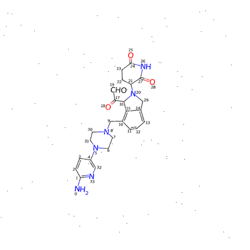 Nc1ccc(N2CCN(Cc3cccc4c3C(C(=O)C=O)N(C3CCC(=O)NC3=O)C4)CC2)cn1